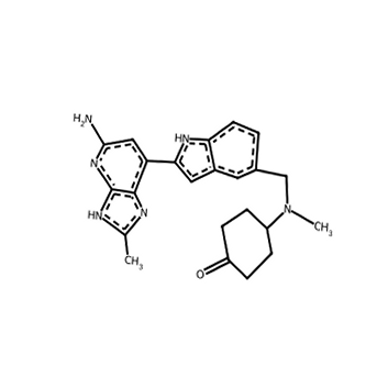 Cc1nc2c(-c3cc4cc(CN(C)C5CCC(=O)CC5)ccc4[nH]3)cc(N)nc2[nH]1